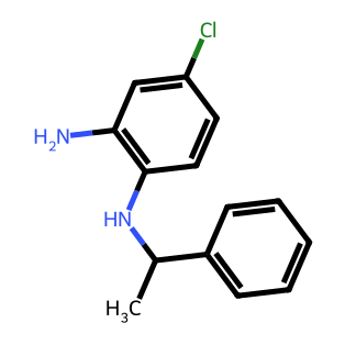 CC(Nc1ccc(Cl)cc1N)c1ccccc1